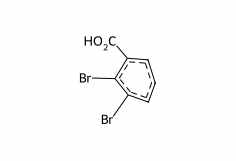 O=C(O)c1cccc(Br)c1Br